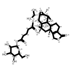 CC(C)[C@]12O[C@H]1[C@@H]1O[C@]13[C@]1(O[C@H]1C[C@H]1C4=C(CC[C@@]13C)C(=O)OC4)[C@@H]2OC(=O)CCCC(=O)O[C@@H]1OC(CO)[C@@H](O)C(O)C1O